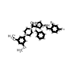 COc1cc(OC)cc(N2CCN(C(=O)[C@]3(Cc4ccccc4)C[C@H](NCc4ccc(F)cc4F)CN3)CC2)c1